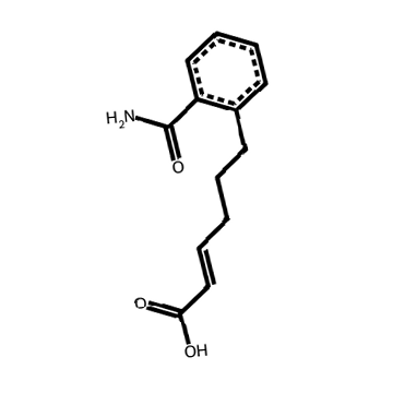 NC(=O)c1ccccc1CCCC=CC(=O)O